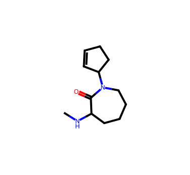 CNC1CCCCN(C2C=CCC2)C1=O